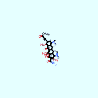 COC(=O)C#Cc1cc(N(C)C)c2c(c1O)C(=O)C1=C(O)C3(O)C(=O)C(C(N)=O)=C(O)C(N(C)C)C3CC1C2